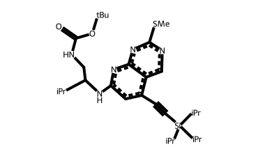 CSc1ncc2c(C#C[Si](C(C)C)(C(C)C)C(C)C)cc(NC(CNC(=O)OC(C)(C)C)C(C)C)nc2n1